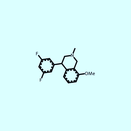 COc1cccc2c1CN(C)CC2c1cc(F)cc(F)c1